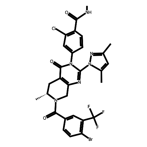 CNC(=O)c1ccc(-n2c(-n3nc(C)cc3C)nc3c(c2=O)C[C@@H](C)N(C(=O)c2ccc(Br)c(C(F)(F)F)c2)C3)cc1Cl